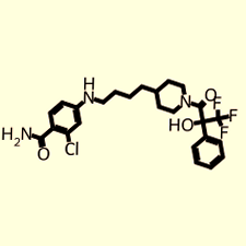 NC(=O)c1ccc(NCCCCC2CCN(C(=O)C(O)(c3ccccc3)C(F)(F)F)CC2)cc1Cl